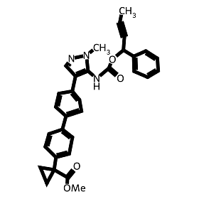 CC#CC(OC(=O)Nc1c(-c2ccc(-c3ccc(C4(C(=O)OC)CC4)cc3)cc2)cnn1C)c1ccccc1